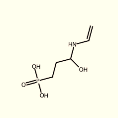 C=CNC(O)CCP(=O)(O)O